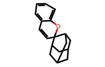 C1=CC2(Oc3ccccc31)C1CC3CC(C1)CC2C3